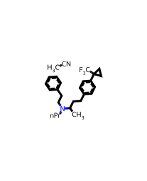 CC#N.CCCN(CCc1ccccc1)C(C)CCc1ccc(C2(C(F)(F)F)CC2)cc1